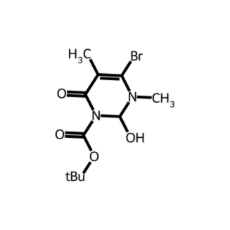 CC1=C(Br)N(C)C(O)N(C(=O)OC(C)(C)C)C1=O